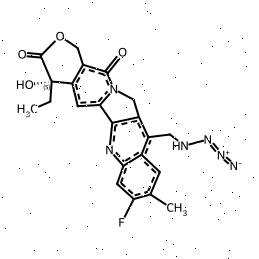 CC[C@@]1(O)C(=O)OCc2c1cc1n(c2=O)Cc2c-1nc1cc(F)c(C)cc1c2CNN=[N+]=[N-]